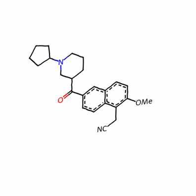 COc1ccc2cc(C(=O)C3CCCN(C4CCCC4)C3)ccc2c1CC#N